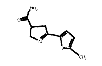 Cc1ccc([C]2=[Al][CH2]C(C(N)=O)C2)s1